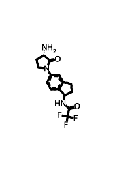 N[C@H]1CCN(c2ccc3c(c2)CCC3NC(=O)C(F)(F)F)C1=O